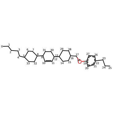 CCCCCC1CCC(C2C=CC(C3CCC(COc4ccc(CCC)cc4)CC3)CC2)CC1